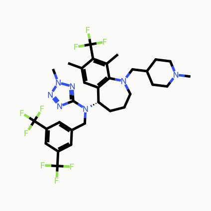 Cc1cc2c(c(C)c1C(F)(F)F)N(CC1CCN(C)CC1)CCC[C@@H]2N(Cc1cc(C(F)(F)F)cc(C(F)(F)F)c1)c1nnn(C)n1